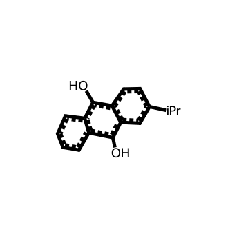 CC(C)c1ccc2c(O)c3ccccc3c(O)c2c1